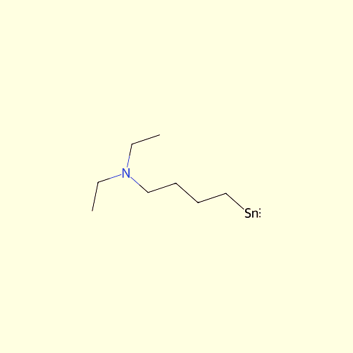 CCN(CC)CCC[CH2][Sn]